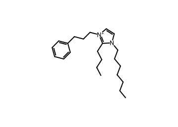 CCCCCCCn1cc[n+](CCCc2ccccc2)c1CCCC